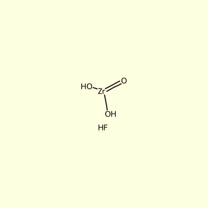 F.[O]=[Zr]([OH])[OH]